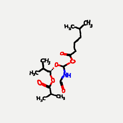 CC(C)CCCC(=O)OC(NC=O)O[C@H](OC(=O)C(C)C)C(C)C